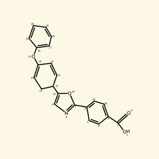 O=C(O)c1ccc(-c2ncc(C3C=CC(Oc4ccccc4)=CC3)o2)cc1